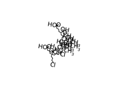 CC(C)C(O)C(C)(C)CO.CC(C)C(O)C(C)(C)CO.CC(C)CC(CCCC(=O)O)C(=O)O.O=C(O)CCCC(CCCCCl)(CCCCCl)C(=O)O